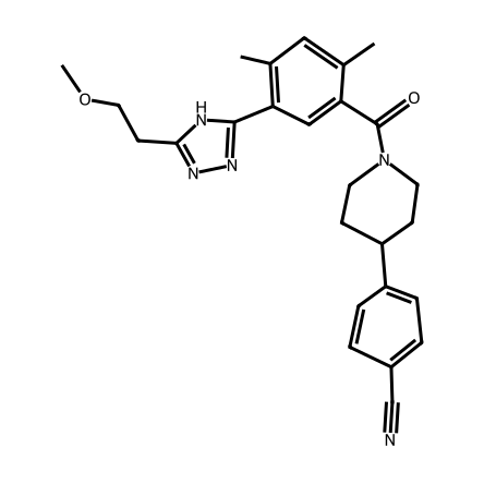 COCCc1nnc(-c2cc(C(=O)N3CCC(c4ccc(C#N)cc4)CC3)c(C)cc2C)[nH]1